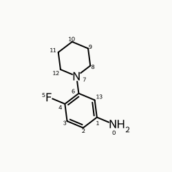 Nc1ccc(F)c(N2CCCCC2)c1